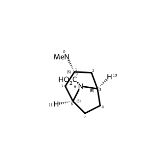 CN[C@@H]1C[C@H]2CC[C@@H](C1)N2C(=O)O